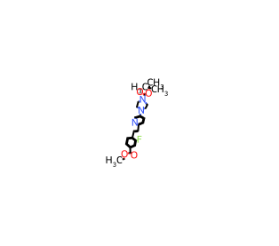 CCOC(=O)c1ccc(C=Cc2ccc(N3CCN(C(=O)OC(C)(C)C)CC3)cn2)c(F)c1